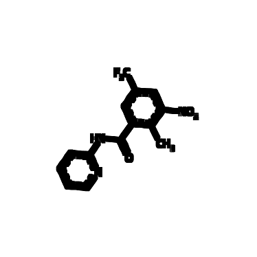 Cc1c(C(=O)Nc2ccccn2)cc(C(F)(F)F)cc1[N+](=O)[O-]